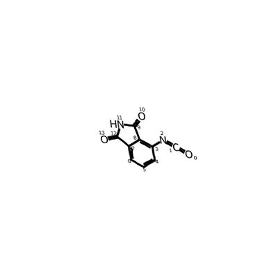 O=C=Nc1cccc2c1C(=O)NC2=O